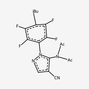 CCC(C)c1c(F)c(F)c(-n2ncc(C#N)c2N(C(C)=O)C(C)=O)c(F)c1F